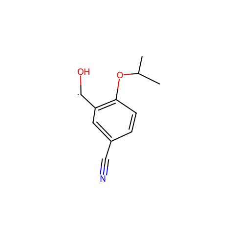 CC(C)Oc1ccc(C#N)cc1[CH]O